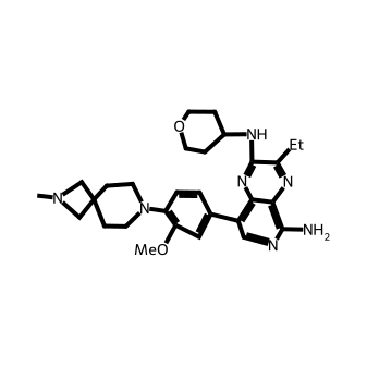 CCc1nc2c(N)ncc(-c3ccc(N4CCC5(CC4)CN(C)C5)c(OC)c3)c2nc1NC1CCOCC1